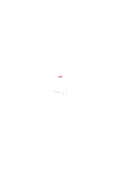 B=O.O.[O]=[Zn]